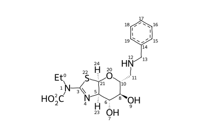 CCN(C(=O)O)C1=N[C@@H]2[C@@H](O)[C@H](O)[C@@H](CNCc3ccccc3)O[C@@H]2S1